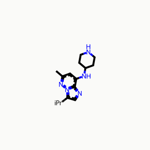 Cc1cc(NC2CCNCC2)c2ncc(C(C)C)n2n1